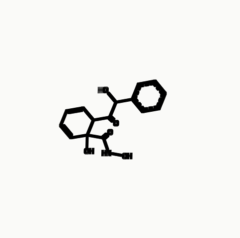 O=C(C(O)c1ccccc1)C1C=CC=CC1(O)C(=O)NO